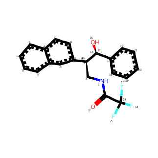 O=C(NC[C@@H](c1ccc2ccccc2c1)[C@@H](O)c1ccccc1)C(F)(F)F